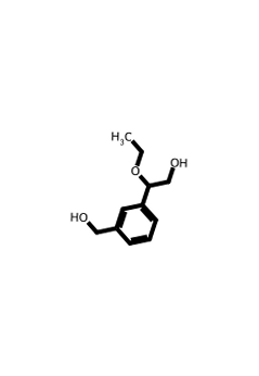 CCOC(CO)c1cccc(CO)c1